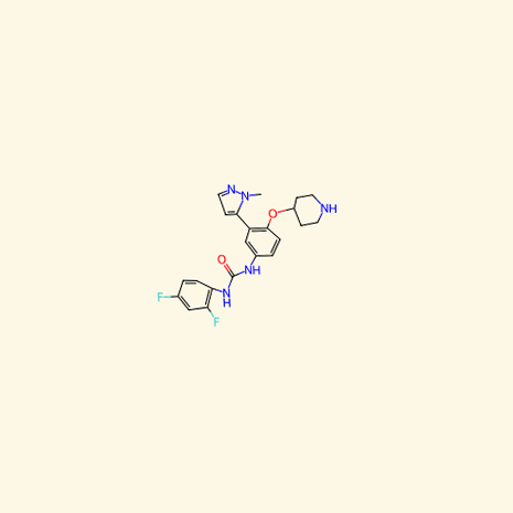 Cn1nccc1-c1cc(NC(=O)Nc2ccc(F)cc2F)ccc1OC1CCNCC1